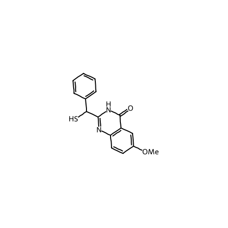 COc1ccc2nc(C(S)c3ccccc3)[nH]c(=O)c2c1